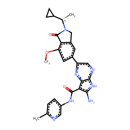 Cc1ccc(NC(=O)c2c(N)[nH]c3ncc(-c4cc5c(c(OC(F)(F)F)c4)C(=O)N([C@@H](C)C4CC4)C5)nc23)cn1